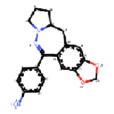 Nc1ccc(C2=NN3CCCC3Cc3cc4c(cc32)OCO4)cc1